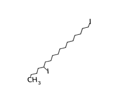 CCCCC(I)CCCCCCCCCCCCI